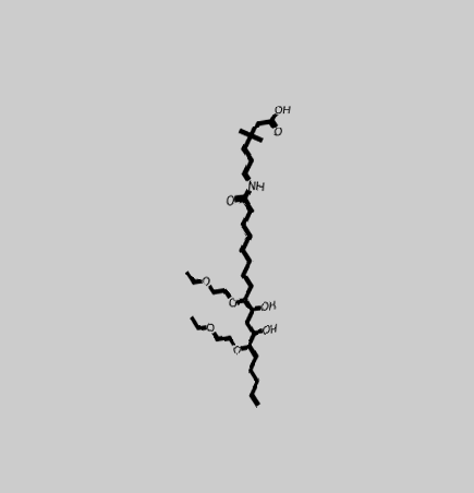 CCCCCC(OCCOCC)C(O)CC(O)C(CCCCCCCC(=O)NCCCC(C)(C)CC(=O)O)OCCOCC